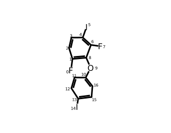 Fc1ccc(I)c(F)c1Oc1ccc(I)cc1